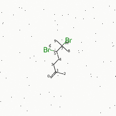 C=C(C)CCC(Br)C(C)(C)Br